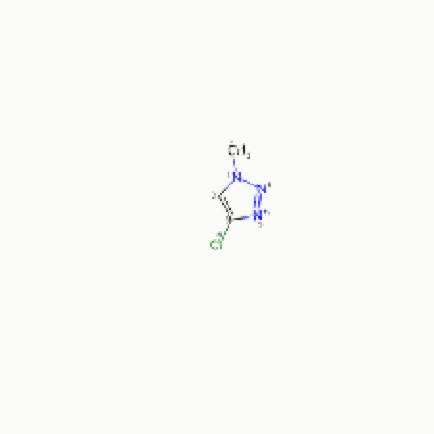 CN1C=C(Cl)[N+]=N1